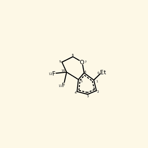 CCc1cccc2c1OCCC2(F)F